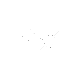 Cc1ccc(Cl)c(-c2ccccc2)c1